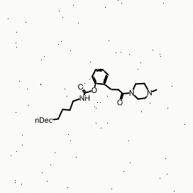 CCCCCCCCCCCCCCNC(=O)Oc1ccccc1CCC(=O)N1CCN(C)CC1